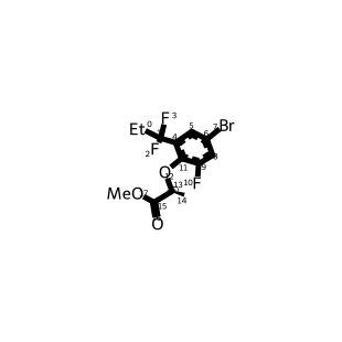 CCC(F)(F)c1cc(Br)cc(F)c1O[C@@H](C)C(=O)OC